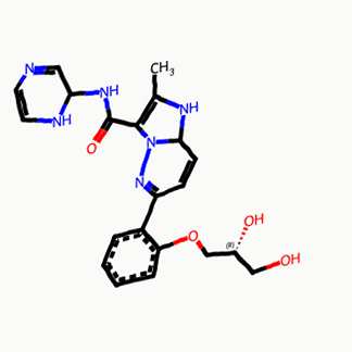 CC1=C(C(=O)NC2C=NC=CN2)N2N=C(c3ccccc3OC[C@H](O)CO)C=CC2N1